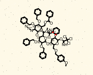 COC(=O)C1O[C@@H](O[C@@H]2C(COCc3ccc(OC)cc3)OC(OC(=N)C(Cl)(Cl)Cl)C(N=[N+]=[N-])[C@H]2OC(=O)c2ccccc2)C(OCc2ccccc2)[C@H](OCc2ccccc2)[C@@H]1O[C@@H]1OC(COC(=O)c2ccccc2)[C@@H](OCc2ccccc2)[C@H](OCc2ccccc2)C1N=[N+]=[N-]